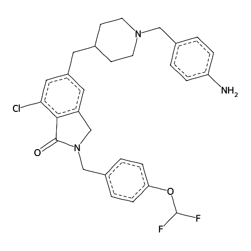 Nc1ccc(CN2CCC(Cc3cc(Cl)c4c(c3)CN(Cc3ccc(OC(F)F)cc3)C4=O)CC2)cc1